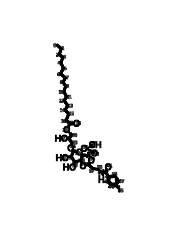 CCCCCCCCCCCCCCCCCC(=O)OCC(O)COC1OC(CS(=O)(=O)O)C(OC(=O)CCNC(=O)c2ccc(I)cc2)C(O)C1O